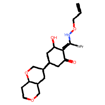 C=CCONC(CCC)=C1C(=O)CC(C2COC3CCOCC3C2)CC1O